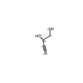 N#C[C@@H](O)CO